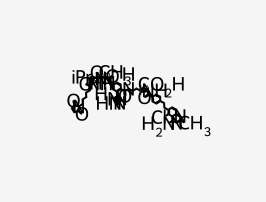 Cc1nc(N)c2c(Cl)c(CCc3ccc(C(=O)N[C@@H](CCCNC(=O)c4ccc(NC(=O)[C@H](C)NC(=O)[C@@H](NC(=O)CCCCCN5C(=O)C=CC5=O)C(C)C)cc4-c4nn[nH]n4)C(=O)O)cc3)ccc2n1